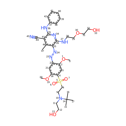 COc1cc(S(=O)(=O)CCN(CCO)C(C)(C)C)c(OC)cc1/N=N/c1c(NCCOCCO)nc(Nc2ccccc2)c(C#N)c1C